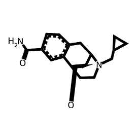 NC(=O)c1ccc2c(c1)C13CCN(CC4CC4)C(C2)C1CCC(=O)C3